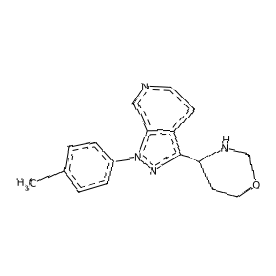 Cc1ccc(-n2nc(C3CCOCN3)c3ccncc32)cc1